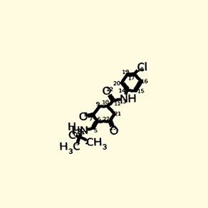 CC(C)(C)NC=C1C(=O)CC(C(=O)Nc2ccc(Cl)cc2)CC1=O